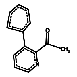 CC(=O)c1ncccc1-c1ccccc1